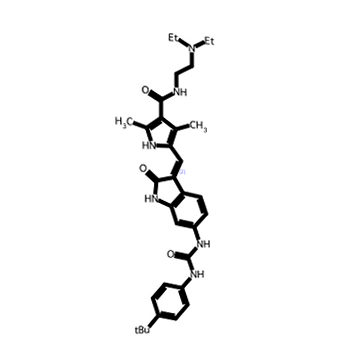 CCN(CC)CCNC(=O)c1c(C)[nH]c(/C=C2\C(=O)Nc3cc(NC(=O)Nc4ccc(C(C)(C)C)cc4)ccc32)c1C